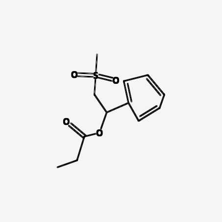 CCC(=O)OC(CS(C)(=O)=O)c1ccccc1